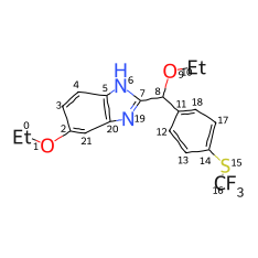 CCOc1ccc2[nH]c(C(OCC)c3ccc(SC(F)(F)F)cc3)nc2c1